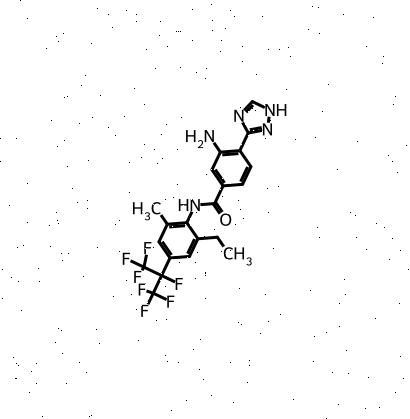 CCc1cc(C(F)(C(F)(F)F)C(F)(F)F)cc(C)c1NC(=O)c1ccc(-c2nc[nH]n2)c(N)c1